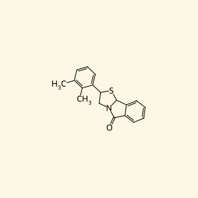 Cc1cccc(C2CN3C(=O)c4ccccc4C3S2)c1C